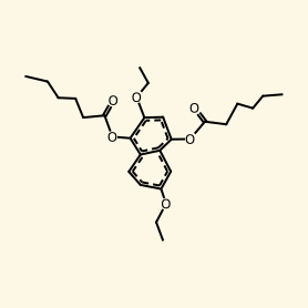 CCCCCC(=O)Oc1cc(OCC)c(OC(=O)CCCCC)c2ccc(OCC)cc12